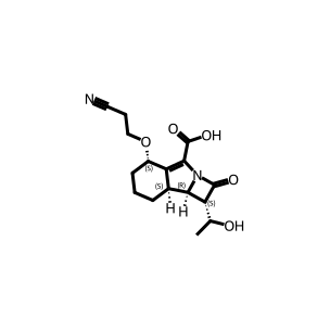 CC(O)[C@H]1C(=O)N2C(C(=O)O)=C3[C@@H](OCCC#N)CCC[C@@H]3[C@H]12